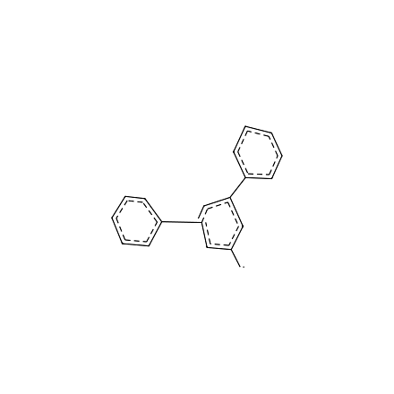 [CH2]c1cc(-c2ccccc2)cc(-c2ccccc2)c1